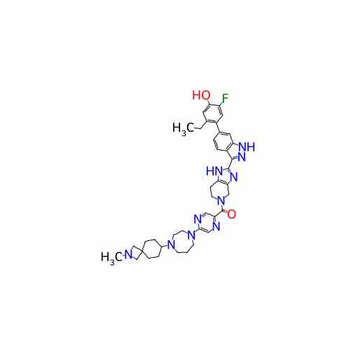 CCc1cc(O)c(F)cc1-c1ccc2c(-c3nc4c([nH]3)CCN(C(=O)c3cnc(N5CCCN(C6CCC7(CC6)CN(C)C7)CC5)cn3)C4)n[nH]c2c1